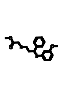 COC(=O)CSCCC(Sc1cccc(OC)c1)c1ccccc1